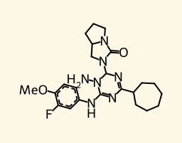 COc1ccc(NC2=NC(C3CCCCCC3)=NC(N3CC4CCCN4C3=O)N2N)cc1F